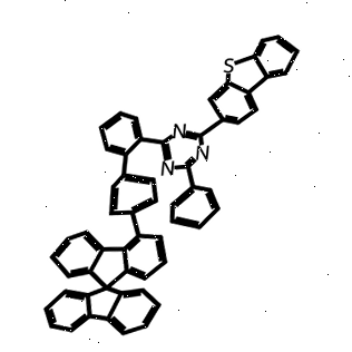 c1ccc(-c2nc(-c3ccc4c(c3)sc3ccccc34)nc(-c3ccccc3-c3ccc(-c4cccc5c4-c4ccccc4C54c5ccccc5-c5ccccc54)cc3)n2)cc1